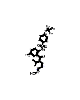 CC(C)=C(/C=C\C=N\O)C(=O)c1cc(Cl)ccc1NS(=O)(=O)c1ccc(OC(F)(F)F)cc1